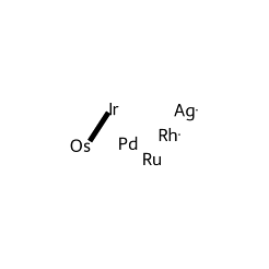 [Ag].[Os][Ir].[Pd].[Rh].[Ru]